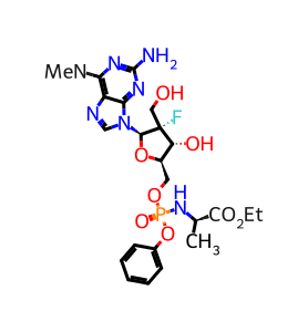 CCOC(=O)[C@@H](C)NP(=O)(OC[C@H]1O[C@@H](n2cnc3c(NC)nc(N)nc32)[C@@](F)(CO)[C@@H]1O)Oc1ccccc1